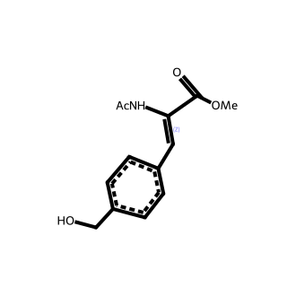 COC(=O)/C(=C/c1ccc(CO)cc1)NC(C)=O